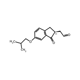 CC(C)COc1ccc2c(c1)C(=O)[C@H](CC=O)C2